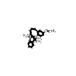 COc1ccc2c(c1)/C=C\C=C/C1(O2)N(C)c2ccccc2C1(C)C